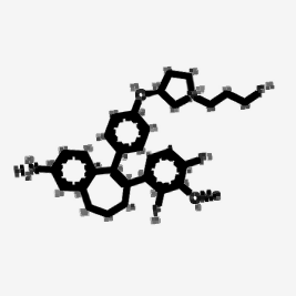 COc1c(F)ccc(C2=C(c3ccc(O[C@H]4CCN(CCCF)C4)cc3)c3ccc(N)cc3CCC2)c1F